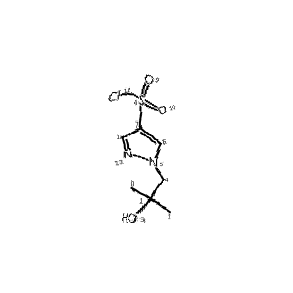 CC(C)(O)Cn1cc(S(=O)(=O)Cl)cn1